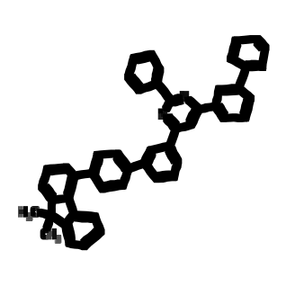 CC1(C)c2ccccc2-c2c(-c3ccc(-c4cccc(-c5cc(-c6cccc(-c7ccccc7)c6)nc(-c6ccccc6)n5)c4)cc3)cccc21